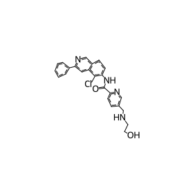 O=C(Nc1ccc2cnc(-c3ccccc3)cc2c1Cl)c1ccc(CNCCO)cn1